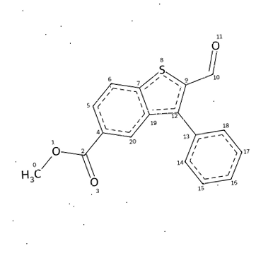 COC(=O)c1ccc2sc(C=O)c(-c3ccccc3)c2c1